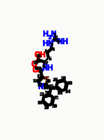 N=C(N)NCCC[C@H](NC(=O)c1cnc(C(c2ccccc2)c2ccccc2)s1)C(=O)O